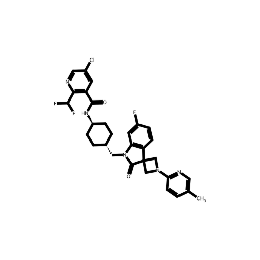 Cc1ccc(N2CC3(C2)C(=O)N(C[C@H]2CC[C@H](NC(=O)c4cc(Cl)cnc4C(F)F)CC2)c2cc(F)ccc23)nc1